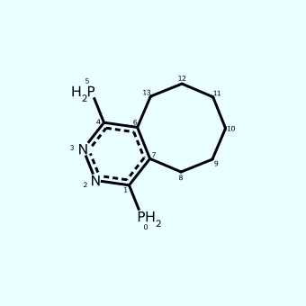 Pc1nnc(P)c2c1CCCCCC2